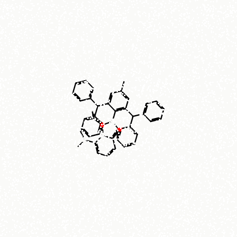 Cc1cc(C(c2ccccc2)c2ccccc2)c(-n2cc3cccc(N(C)C)n3[c]2=[Au-2][Cl])c(C(c2ccccc2)c2ccccc2)c1